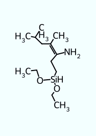 CCO[SiH](CCC(N)=C(C)CC(C)C)OCC